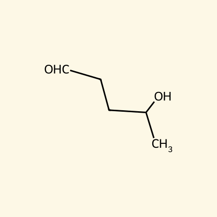 CC(O)CCC=O